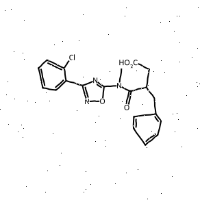 CN(C(=O)C(CC(=O)O)Cc1ccccc1)c1nc(-c2ccccc2Cl)no1